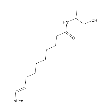 CCCCCCC=CCCCCCCCC(=O)NC(C)CO